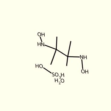 CC(C)(NO)C(C)(C)NO.O.O=S(=O)(O)O